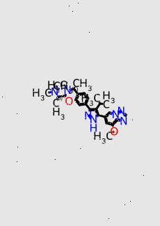 COc1cc(-c2[nH]nc(-c3ccc([C@H](C)N(C)C(=O)[C@H](C)N(C)C)cc3)c2C(C)C)cn2ncnc12